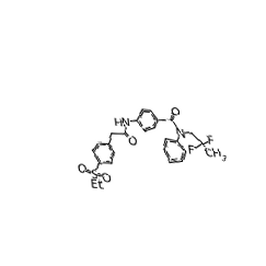 CCS(=O)(=O)c1ccc(CC(=O)Nc2ccc(C(=O)N(CC(C)(F)F)c3ccccc3)cc2)cc1